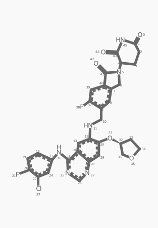 O=C1CCC(N2Cc3cc(CNc4cc5c(Nc6ccc(F)c(Cl)c6)ncnc5cc4O[C@H]4CCOC4)c(F)cc3C2=O)C(=O)N1